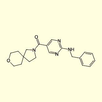 O=C(c1cnc(NCc2ccccc2)nc1)N1CCC2(CCOCC2)C1